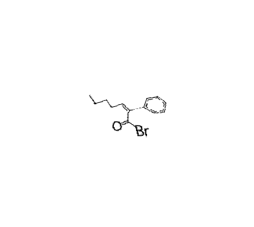 CCCCC=C(C(=O)Br)c1ccccc1